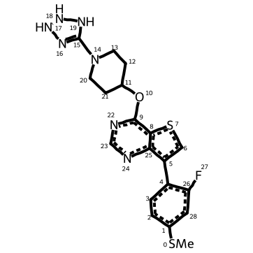 CSc1ccc(-c2csc3c(OC4CCN(C5=NNNN5)CC4)ncnc23)c(F)c1